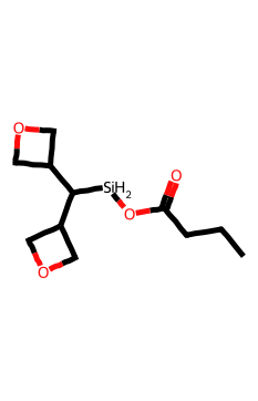 CCCC(=O)O[SiH2]C(C1COC1)C1COC1